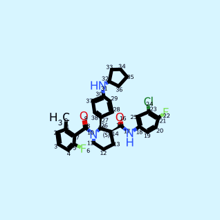 Cc1cccc(F)c1C(=O)N1CCC[C@H](C(=O)Nc2ccc(F)c(Cl)c2)[C@@H]1c1ccc(NC2CCCC2)cc1